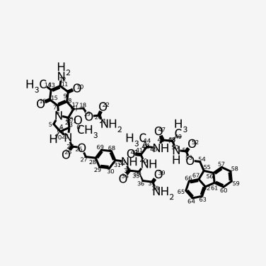 CO[C@]12C3[C@H](CN1C1=C(C(=O)C(N)=C(C)C1=O)[C@H]2COC(N)=O)N3C(=O)OCc1ccc(NC(=O)[C@H](CC(N)=O)NC(=O)[C@H](C)NC(=O)[C@H](C)NC(=O)OCC2c3ccccc3-c3ccccc32)cc1